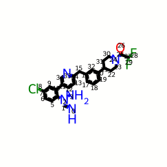 N=CN(N)c1ccc(Cl)cc1-c1ccc(Cc2cccc(C3CCN(C(=O)C(F)F)CC3)c2)nc1